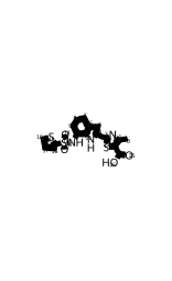 Cc1nc(-c2cc3cccc(NS(=O)(=O)c4cccs4)c3[nH]2)sc1C(=O)O